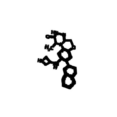 CC1C(=O)NN=C2COc3cc(-c4ccc5ccccc5c4)c([AsH]C4CNC4)cc3N21